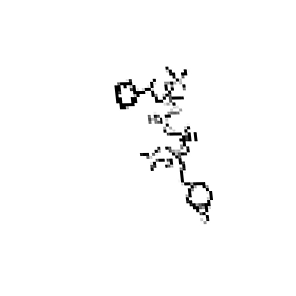 CC(C[Si](C)(O[SiH](C)O[SiH](C)O[Si](C)(CCC1CCC2OC2C1)O[Si](C)(C)C)O[Si](C)(C)C)c1ccccc1